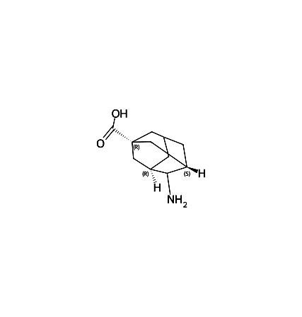 NC1[C@@H]2CC3C[C@H]1C[C@](C(=O)O)(C3)C2